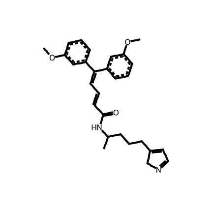 COc1cccc(C(=C/C=C/C(=O)NC(C)CCCC2=CC=NC2)c2cccc(OC)c2)c1